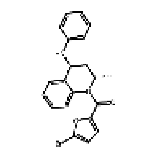 C[C@H]1C[C@H](Nc2ccccc2)c2ccccc2N1C(=O)c1ccc(Br)o1